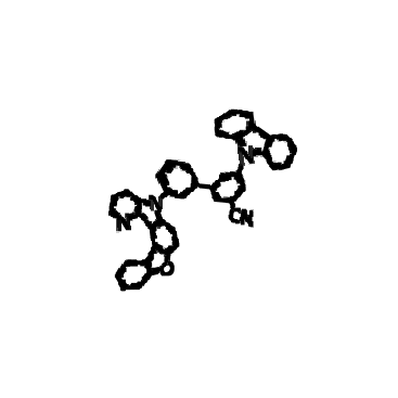 N#Cc1cc(-c2cccc(-n3c4cccnc4c4c5c(ccc43)oc3ccccc35)c2)cc(-n2c3ccccc3c3ccccc32)c1